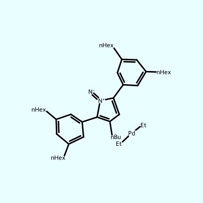 CCCCCCc1cc(CCCCCC)cc(C2=CC(CCCC)=C(c3cc(CCCCCC)cc(CCCCCC)c3)[N+]2=[N-])c1.C[CH2][Pd][CH2]C